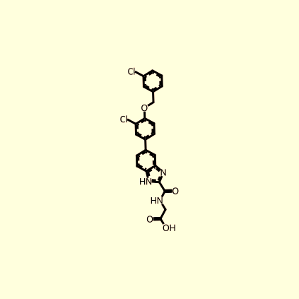 O=C(O)CNC(=O)c1nc2cc(-c3ccc(OCc4cccc(Cl)c4)c(Cl)c3)ccc2[nH]1